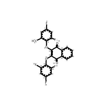 Cc1cc(F)cc(F)c1OC1=C(Oc2c(F)cc(F)cc2F)C(=O)c2ccccc2C1=O